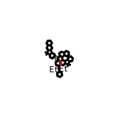 CCC(CC)(c1ccccc1)c1ccc(N(c2ccc3c(c2)-c2cc4ccccc4cc2C3(C)C)c2ccc3ccccc3c2-c2cccc3c2-c2ccccc2C3(C)C)cc1